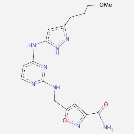 COCCCc1cc(Nc2ccnc(NCc3cc(C(N)=O)no3)n2)[nH]n1